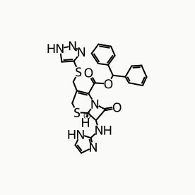 O=C(OC(c1ccccc1)c1ccccc1)C1=C(CSc2c[nH]nn2)CS[C@H]2C(Nc3ncc[nH]3)C(=O)N12